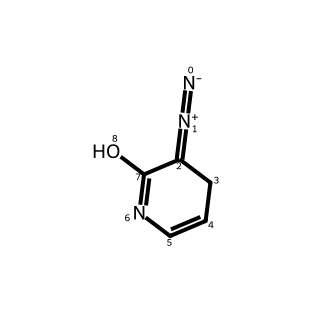 [N-]=[N+]=C1CC=CN=C1O